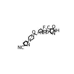 N#Cc1ccc(N2CCN(C(=O)C[C@@H]3CC[C@@H](COc4cn[nH]c(=O)c4C(F)(F)F)N3)CC2)nc1